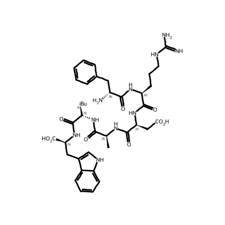 CC[C@H](C)[C@H](NC(=O)[C@H](C)NC(=O)[C@H](CC(=O)O)NC(=O)[C@H](CCCNC(=N)N)NC(=O)[C@H](N)Cc1ccccc1)C(=O)N[C@@H](Cc1c[nH]c2ccccc12)C(=O)O